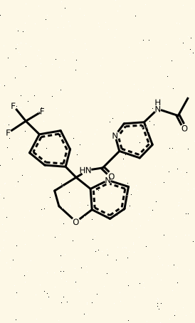 CC(=O)Nc1ccc(C(=O)NC2(c3ccc(C(F)(F)F)cc3)CCOc3cccnc32)nc1